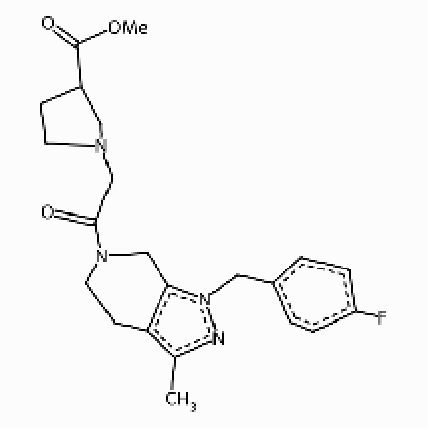 COC(=O)C1CCN(CC(=O)N2CCc3c(C)nn(Cc4ccc(F)cc4)c3C2)C1